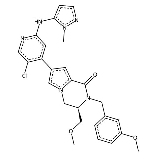 COC[C@H]1Cn2cc(-c3cc(Nc4ccnn4C)ncc3Cl)cc2C(=O)N1Cc1cccc(OC)c1